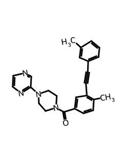 Cc1cccc(C#Cc2cc(C(=O)N3CCN(c4cnccn4)CC3)ccc2C)c1